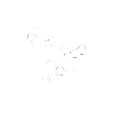 COc1cc(OP(=O)(O)O)cc(OC)c1COc1nc2ccccc2nc1C(=O)NCCNC(=O)CCN1C(=O)C=CC1O